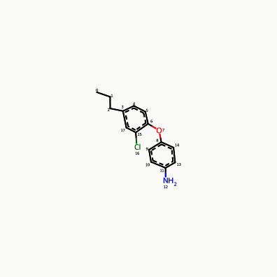 CCCc1ccc(Oc2ccc(N)cc2)c(Cl)c1